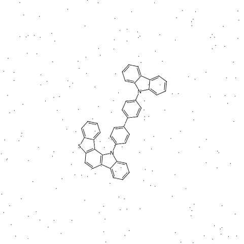 c1ccc2c(c1)sc1ccc3c4ccccc4n(-c4ccc(-c5ccc(-n6c7ccccc7c7ccccc76)cc5)cc4)c3c12